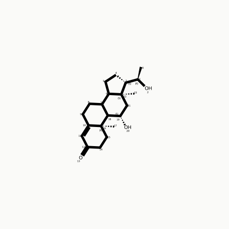 C[C@@H](O)[C@H]1CCC2C3CCC4=CC(=O)CC[C@]4(C)C3[C@@H](O)C[C@@]21C